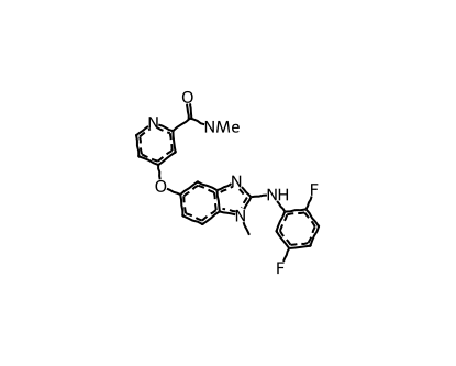 CNC(=O)c1cc(Oc2ccc3c(c2)nc(Nc2cc(F)ccc2F)n3C)ccn1